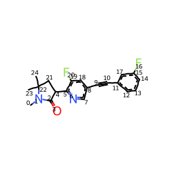 CN1C(=O)C(c2ncc(C#Cc3cccc(F)c3)cc2F)CC1(C)C